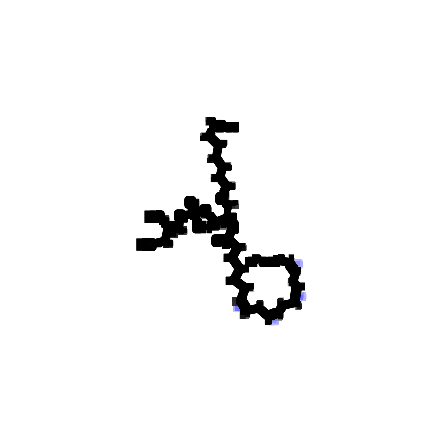 CCCCC/C=C\C/C=C\C/C=C\C/C=C\CCCCCC(=O)O[C@H](COCCCCCCCCCCCCCCCC)COP(=O)(O)OC[C@@H](O)CO